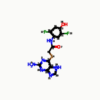 Nc1nc(SCC(=O)Nc2cc(F)c(O)cc2F)c2[nH]cnc2n1